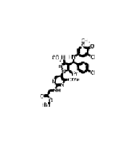 COc1nc(NCC(=O)OC(C)(C)C)ncc1-n1nc(C(=O)O)c(C(Nc2cc(Cl)c(=O)n(C)c2)c2ccc(Cl)cc2)c1C(C)C